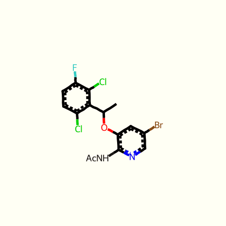 CC(=O)Nc1ncc(Br)cc1OC(C)c1c(Cl)ccc(F)c1Cl